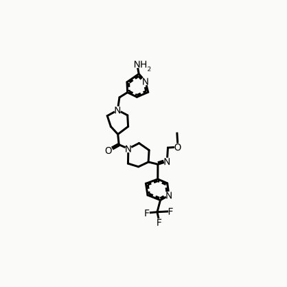 COC/N=C(/c1ccc(C(F)(F)F)nc1)C1CCN(C(=O)C2CCN(Cc3ccnc(N)c3)CC2)CC1